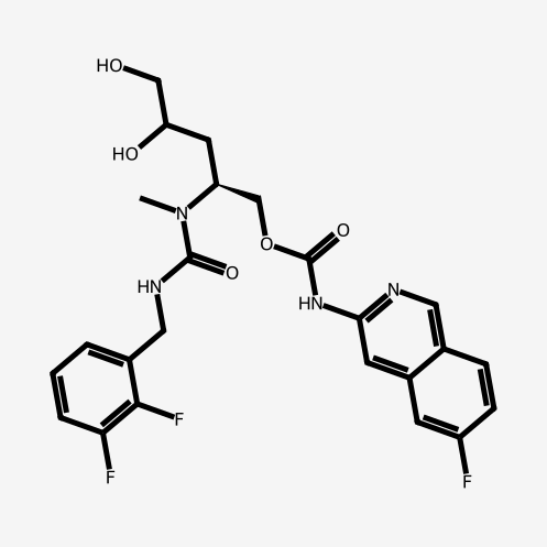 CN(C(=O)NCc1cccc(F)c1F)[C@H](COC(=O)Nc1cc2cc(F)ccc2cn1)CC(O)CO